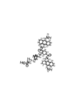 CNCc1c2ccccc2c(CN(C)C(=O)c2ccc(C(=O)N(C)Cc3c4ccccc4c(CNC)c4ccccc34)c(OCc3cn(CCCNC(=O)O)nn3)c2)c2ccccc12